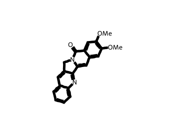 COc1cc2cc3n(c(=O)c2cc1OC)Cc1cc2ccccc2nc1-3